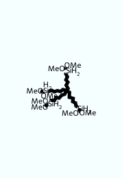 COC(OC)[SiH2]CCCCCCC(CCCCCC[SiH2]C(OC)OC)(CCCCCC[SiH2]C(OC)OC)CCCCCC[SiH2]C(OC)OC